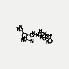 Cn1cc(-c2cc(-c3ccc(N4C[C@@H]5C[C@@](C)(NC(=O)c6ncccc6F)C[C@@H]5C4)nc3)c3c(C#N)cnn3c2)cn1